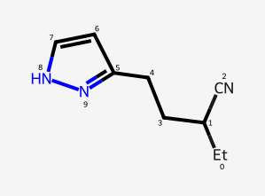 CCC(C#N)CCc1cc[nH]n1